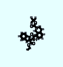 CCOC(=O)C1(NC(=O)c2cccc3c2CN(C(=O)OC(C)(C)C)CC3)Cc2ccccc2C1